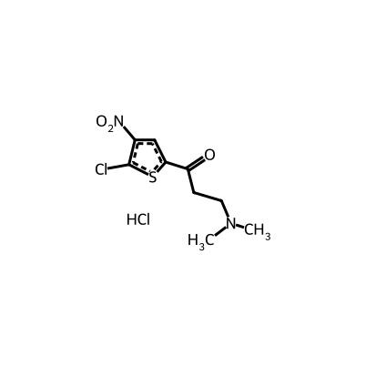 CN(C)CCC(=O)c1cc([N+](=O)[O-])c(Cl)s1.Cl